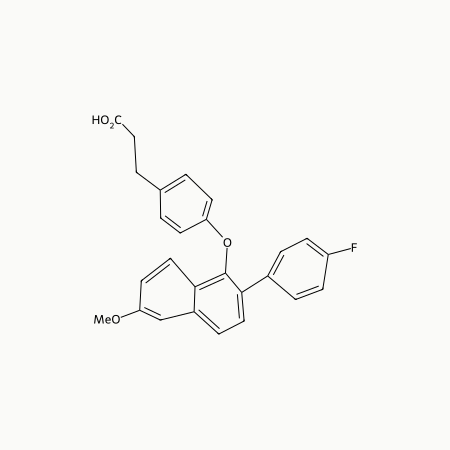 COc1ccc2c(Oc3ccc(CCC(=O)O)cc3)c(-c3ccc(F)cc3)ccc2c1